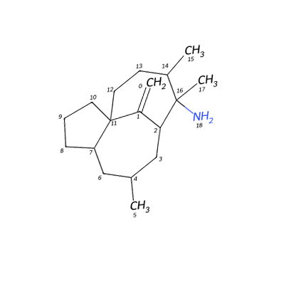 C=C1C2CC(C)CC3CCCC13CCC(C)C2(C)N